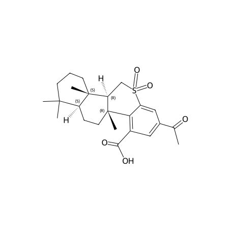 CC(=O)c1cc(C(=O)O)c2c(c1)S(=O)(=O)C[C@@H]1[C@@]3(C)CCCC(C)(C)[C@@H]3CC[C@@]21C